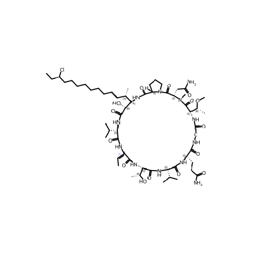 C/C=C1/NC(=O)[C@H](C(C)C)NC(=O)[C@H](O)[C@@H]([C@@H](C)CCCCCCCCCC(Cl)CC)NC(=O)[C@@H]2CCCN2C(=O)[C@H](CC(N)=O)N(C)C(=O)[C@H]([C@@H](C)OC)NC(=O)CNC(=O)[C@H](CCC(N)=O)NC(=O)[C@H](C(C)C)NC(=O)[C@H]([C@@H](C)O)NC1=O